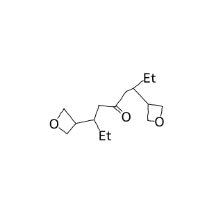 CCC(CC(=O)CC(CC)C1COC1)C1COC1